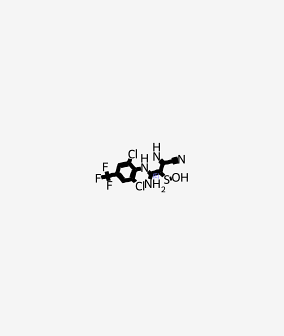 N#CC(=N)/C(SO)=C(/N)Nc1c(Cl)cc(C(F)(F)F)cc1Cl